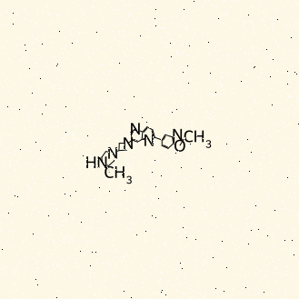 Cc1nc2cc(-c3ccc4ncc(N5CC(N6CCN[C@@H](C)C6)C5)cc4n3)ccc2o1